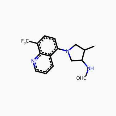 CC1CN(c2ccc(C(F)(F)F)c3ncccc23)CC1NC=O